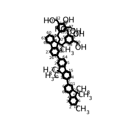 Cc1ccc2c(c1)C(C)(C)c1cc(-c3ccc4c(c3)C(C)(C)c3cc(-c5ccc6c(c5)C(CCc5cc(CO)c(O)c(CO)c5)(C(C)c5cc(CO)c(O)c(CO)c5)c5ccccc5-6)ccc3-4)ccc1-2